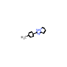 Cc1ccc(-c2nc3ccccn3n2)cc1